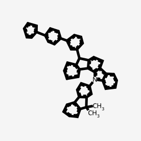 CC1(C)c2ccccc2-c2ccc(-n3c4ccccc4c4ccc5c(c43)-c3ccccc3C5c3cccc(-c4ccc(-c5ccccc5)cc4)c3)cc21